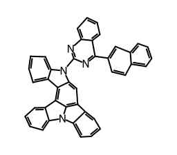 c1ccc2cc(-c3nc(-n4c5ccccc5c5c6c7ccccc7n7c8ccccc8c(cc54)c67)nc4ccccc34)ccc2c1